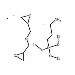 C(OCC1CO1)C1CO1.CCO[Si](CCCN)(OCC)OCC